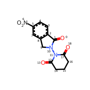 O=C1c2ccc([N+](=O)[O-])cc2CN1N1C(=O)CCCC1=O